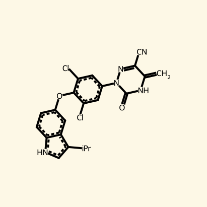 C=C1NC(=O)N(c2cc(Cl)c(Oc3ccc4[nH]cc(C(C)C)c4c3)c(Cl)c2)N=C1C#N